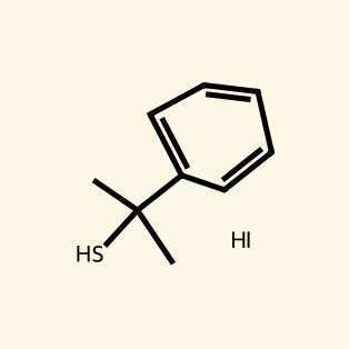 CC(C)(S)c1ccccc1.I